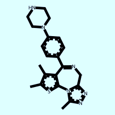 Cc1sc2c(c1C)C(c1ccc(N3CCNCC3)cc1)=N[CH]c1nnc(C)n1-2